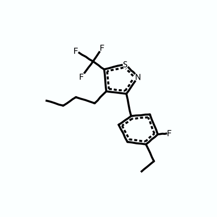 CCCCc1c(-c2ccc(CC)c(F)c2)nsc1C(F)(F)F